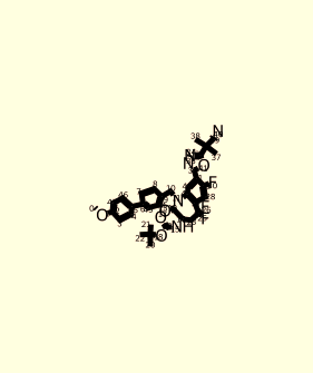 COc1ccc(-c2ccc(CN3C(=O)C(NC(=O)OC(C)(C)C)CC(F)(F)c4cc(F)c(-c5nnc(C(C)(C)C#N)o5)cc43)cc2)cc1